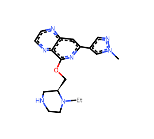 CCN1CCNC[C@H]1COc1nc(-c2cnn(C)c2)cc2nccnc12